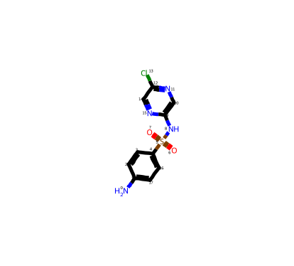 Nc1ccc(S(=O)(=O)Nc2cnc(Cl)cn2)cc1